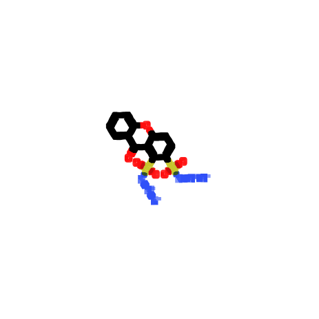 [N-]=[N+]=NS(=O)(=O)c1ccc2oc3ccccc3c(=O)c2c1S(=O)(=O)N=[N+]=[N-]